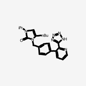 CCCCc1cn(C(C)C)c(=O)n1Cc1ccc(-c2cccnc2-c2nnn[nH]2)cc1